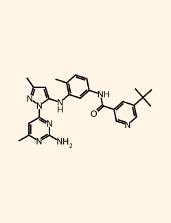 Cc1cc(-n2nc(C)cc2Nc2cc(NC(=O)c3cncc(C(C)(C)C)c3)ccc2C)nc(N)n1